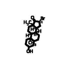 C[C@]12CCC(O)CC1CC[C@@H]1[C@@H]2CC[C@]2(C)C(=O)[C@H](Br)C[C@@H]12